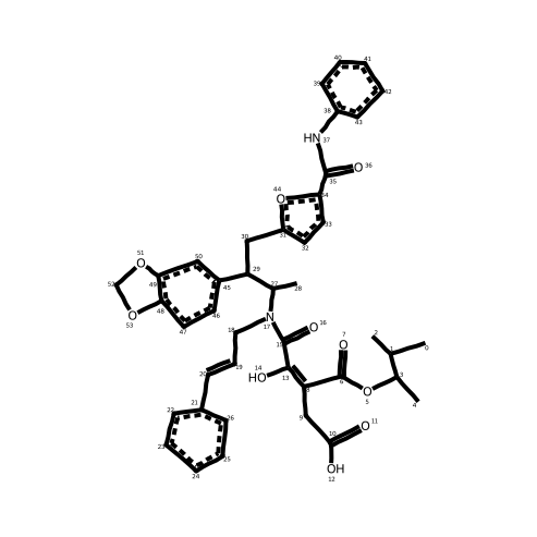 CC(C)C(C)OC(=O)C(CC(=O)O)=C(O)C(=O)N(C/C=C/c1ccccc1)C(C)C(Cc1ccc(C(=O)Nc2ccccc2)o1)c1ccc2c(c1)OCO2